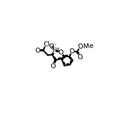 COC(=O)Oc1cccc2c(=O)c(CC(=O)Cl)[n+]([O-])oc12